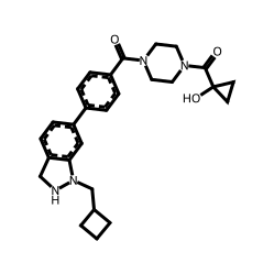 O=C(c1ccc(-c2ccc3c(c2)N(CC2CCC2)NC3)cc1)N1CCN(C(=O)C2(O)CC2)CC1